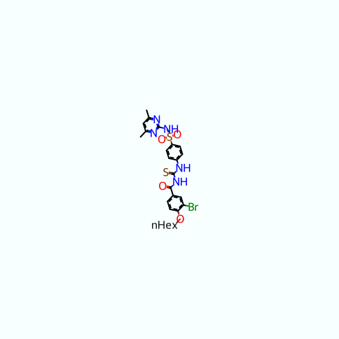 CCCCCCOc1ccc(C(=O)NC(=S)Nc2ccc(S(=O)(=O)Nc3nc(C)cc(C)n3)cc2)cc1Br